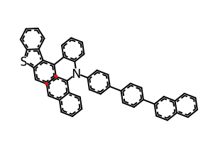 c1ccc(N(c2ccc(-c3ccc(-c4ccc5ccccc5c4)cc3)cc2)c2cccc3ccccc23)c(-c2cccc3sc4ccccc4c23)c1